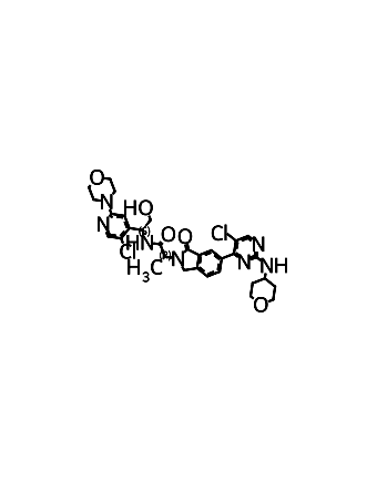 C[C@H](C(=O)N[C@H](CO)c1cc(N2CCOCC2)ncc1Cl)N1Cc2ccc(-c3nc(NC4CCOCC4)ncc3Cl)cc2C1=O